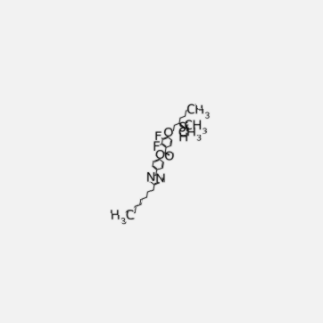 CCCCCCCCc1cnc(-c2ccc(OC(=O)c3ccc(OCCC(CCCC)[SiH](C)C)c(F)c3F)cc2)nc1